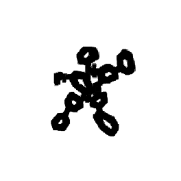 CC(C)c1cc2c3c(c1)N(c1ccc(-c4ccccc4)cc1)c1cc(-c4ccccc4)ccc1B3c1ccc(-c3ccccc3)cc1N2c1ccccc1